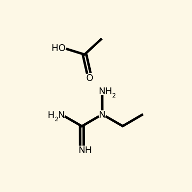 CC(=O)O.CCN(N)C(=N)N